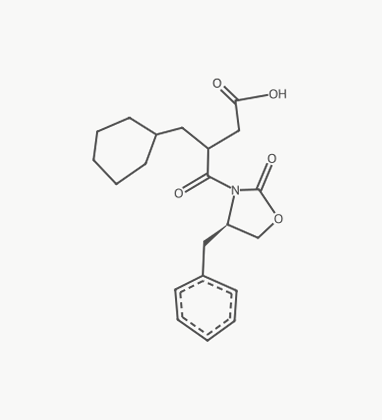 O=C(O)CC(CC1CCCCC1)C(=O)N1C(=O)OC[C@H]1Cc1ccccc1